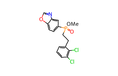 COP(=O)(CCc1cccc(Cl)c1Cl)c1ccc2ocnc2c1